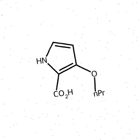 CCCOc1cc[nH]c1C(=O)O